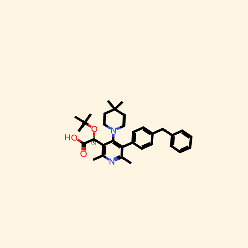 Cc1nc(C)c([C@H](OC(C)(C)C)C(=O)O)c(N2CCC(C)(C)CC2)c1-c1ccc(Cc2ccccc2)cc1